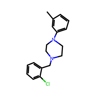 Cc1cccc(N2CCN(Cc3ccccc3Cl)CC2)c1